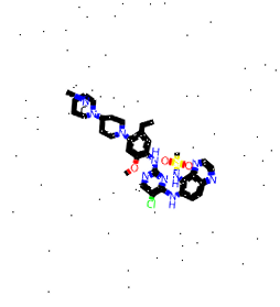 CCc1cc(Nc2ncc(Cl)c(Nc3ccc4nccnc4c3NS(C)(=O)=O)n2)c(OC)cc1N1CCC(N2CC3CCC2CN3C)CC1